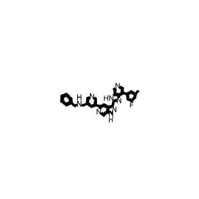 Cc1cc(F)cc(-c2cncc3[nH]c(-c4n[nH]c5cnc(-c6cncc(CNCc7ccccc7)c6)cc45)nc23)c1